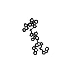 CC1(C)c2ccccc2-c2c(-c3sc(-c4cccc5c4-c4ccccc4C5(C)Cc4cccc(C5(c6ccccc6)c6ccccc6-c6c(-c7sc(-c8cccc9c8-c8ccccc8C9(c8ccccc8)c8ccccc8)c8nc9c%10ccccc%10c%10ccccc%10c9nc78)cccc65)c4)c4nc5c6ccccc6c6ccccc6c5nc34)cccc21